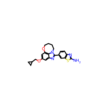 Nc1nc2ccc(-c3nc4cc(OCC5CC5)cc5c4n3CCCCO5)cc2s1